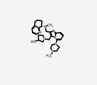 CN1CCN(c2cccc3nc(CN(C)[C@H]4CCCc5cccnc54)c(CN4CCC(O)C4)n23)CC1